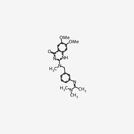 COc1cc2[nH]c(N(C)Cc3cccc(N=C(C)N(C)C)c3)nc(=O)c2cc1OC